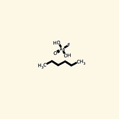 CCCCCC.O=[As](O)(O)F